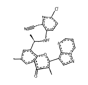 Cc1cc([C@@H](C)Nc2ccc(Cl)nc2C#N)c2oc(-c3cnn4cccnc34)c(C)c(=O)c2c1